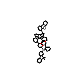 CC1(C)c2ccccc2-c2ccc(N(c3ccc4c(c3)-c3ccccc3C3(c5ccccc5-4)c4ccccc4-c4c(-c5cccc6c5oc5ccccc56)cccc43)c3ccccc3-c3ccccc3)cc21